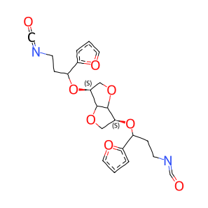 O=C=NCCC(O[C@H]1COC2C1OC[C@@H]2OC(CCN=C=O)c1ccco1)c1ccco1